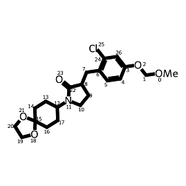 COCOc1ccc(CC2CCN(C3CCC4(CC3)OCCO4)C2=O)c(Cl)c1